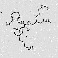 CCCCC(CC)COP(=O)(O)OCC(CC)CCCC.[Nd][c]1ccccc1